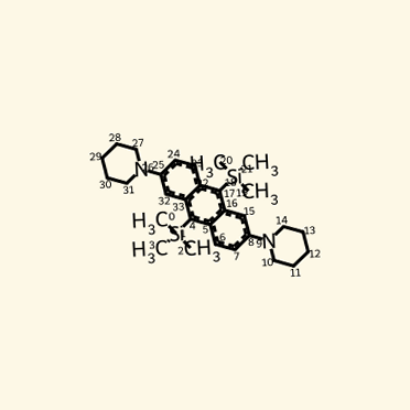 C[Si](C)(C)c1c2ccc(N3CCCCC3)cc2c([Si](C)(C)C)c2ccc(N3CCCCC3)cc12